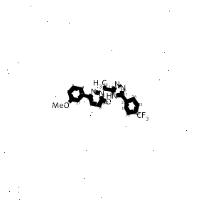 COc1cccc(-c2ccc(=O)n(C(C)c3nnc(-c4ccc(C(F)(F)F)cc4)[nH]3)n2)c1